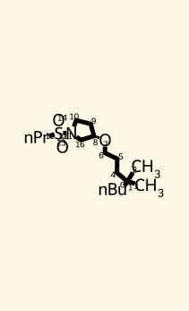 CCCCC(C)(C)CCCO[C@@H]1CCN(S(=O)(=O)CCC)C1